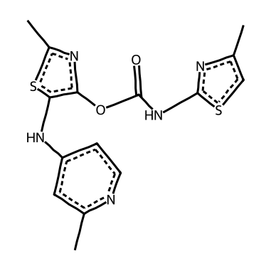 Cc1cc(Nc2sc(C)nc2OC(=O)Nc2nc(C)cs2)ccn1